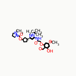 COc1cc(O)c(C=O)c(OCC(=O)Nc2cc([C@H]3CC[C@@H](OC(=O)N4CCCN4C)C3)nn2C(C)(C)C)c1